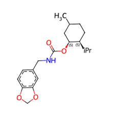 CC1CC[C@@H](C(C)C)[C@@H](OC(=O)NCc2ccc3c(c2)OCO3)C1